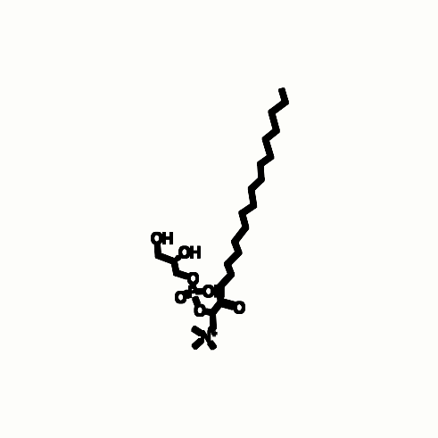 CCCCCCCCCCCCCCCCCC(=O)C(C[N+](C)(C)C)OP(=O)(O)OC[C@H](O)CO